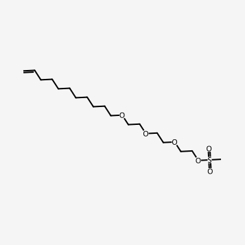 C=CCCCCCCCCCOCCOCCOCCOS(C)(=O)=O